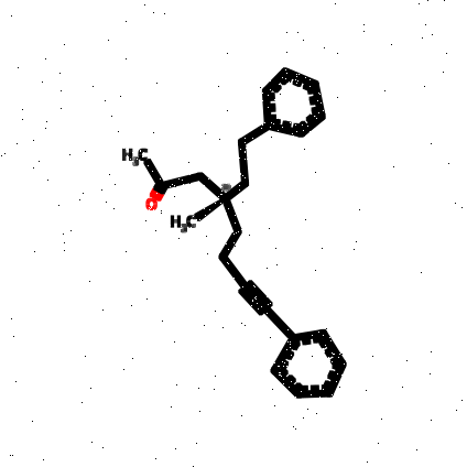 CC(=O)C[C@@](C)(CCC#Cc1ccccc1)CCc1ccccc1